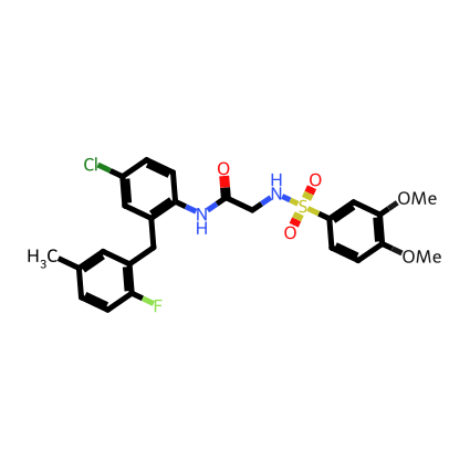 COc1ccc(S(=O)(=O)NCC(=O)Nc2ccc(Cl)cc2Cc2cc(C)ccc2F)cc1OC